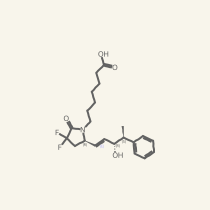 C[C@@H](c1ccccc1)[C@H](O)/C=C/[C@H]1CC(F)(F)C(=O)N1CCCCCCC(=O)O